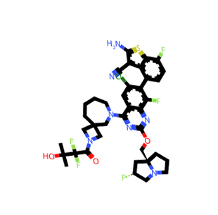 CC(C)(O)C(F)(F)C(=O)N1CC2(CCCCN(c3nc(OC[C@@]45CCCN4C[C@H](F)C5)nc4c(F)c(-c5ccc(F)c6sc(N)c(C#N)c56)c(Cl)cc34)C2)C1